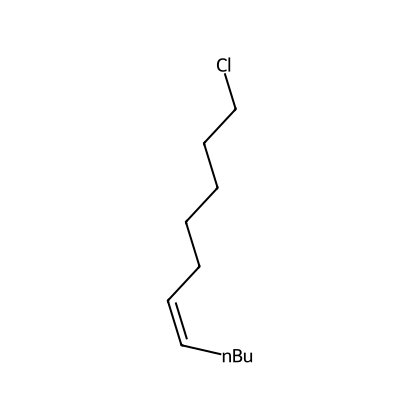 CCCC/C=C\CCCCCCl